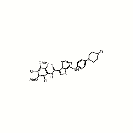 CCN1CCN(c2ccc(Nc3ncnc4c(C(=O)Nc5c(Cl)c(OC)c(Cl)c(OC)c5Cl)csc34)cc2)CC1